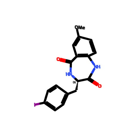 COc1ccc2c(c1)C(=O)N[C@@H](Cc1ccc(I)cc1)C(=O)N2